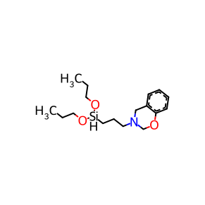 CCCO[SiH](CCCN1COc2ccccc2C1)OCCC